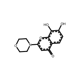 O=c1cc(N2CCOCC2)oc2c(O)c(O)ccc12